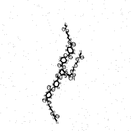 C=CC(=O)OCCCCOC(=O)C1CCC(C(=O)OC2CCC(C(=O)Oc3ccc(OC(=O)C4CCC(OC(=O)C5CCC(C(=O)OCCCCOC(=O)C=C)CC5)CC4)c4c3SC(=C(C#N)C(=O)OCCOCCOC(=O)C=C)S4)CC2)CC1